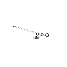 C=CCCCCCCCCCCCCCCOCC(CC(C)(C)C)OCc1ccccc1